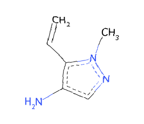 C=Cc1c(N)cnn1C